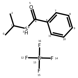 CC(C)[SH+]C(=O)c1ccccc1.F[B-](F)(F)F